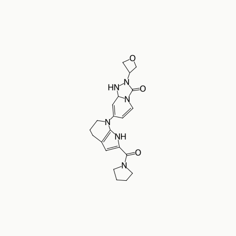 O=C(c1cc2c([nH]1)N(C1=CC3NN(C4COC4)C(=O)N3C=C1)CCC2)N1CCCC1